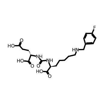 O=C(O)CC[C@H](NC(=O)N[C@@H](CCCCCNCc1ccc(F)cc1)C(=O)O)C(=O)O